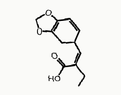 CCC(=CC1C=CC2=C(C1)OCO2)C(=O)O